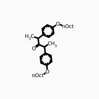 CCCCCCCCOc1ccc(C(C)C(=O)C(C)c2ccc(OCCCCCCCC)cc2)cc1